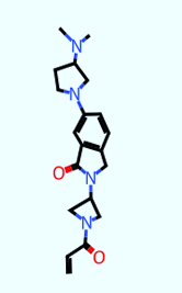 C=CC(=O)N1CC(N2Cc3ccc(N4CCC(N(C)C)C4)cc3C2=O)C1